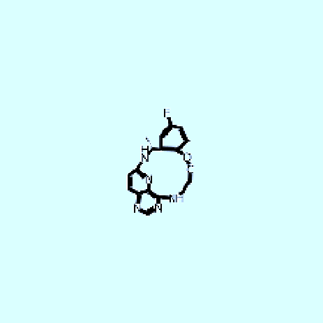 C[C@H]1Nc2ccc3ncnc(c3n2)NCCCOc2ccc(F)cc21